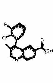 Cc1cnc2ccc(C(=O)O)cc2c1-c1cccc(F)c1Cl